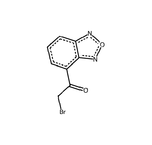 O=C(CBr)c1cccc2nonc12